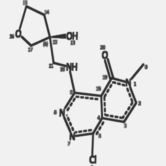 Cn1ccc2c(Cl)nnc(NC[C@@]3(O)CCOC3)c2c1=O